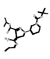 CC/C=N\C(N)=C1/CN([C@@H]2CCCN(C(=O)OC(C)(C)C)C2)N=C1C(=O)OC(C)C